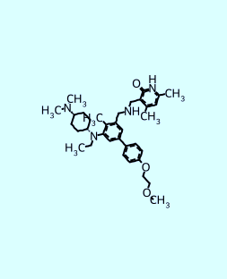 CCN(c1cc(-c2ccc(OCCOC)cc2)cc(CNCc2c(C)cc(C)[nH]c2=O)c1C)[C@H]1CC[C@H](N(C)C)CC1